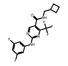 O=C(NCC1CCC1)c1cnc(Nc2cc(F)cc(F)c2)nc1C(F)(F)F